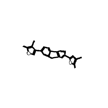 Cc1cc(-c2ccc3c(c2)Cc2cc(-c4coc(C)c4C)ccc2-3)oc1C